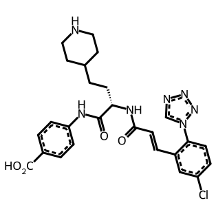 O=C(/C=C/c1cc(Cl)ccc1-n1cnnn1)N[C@@H](CCC1CCNCC1)C(=O)Nc1ccc(C(=O)O)cc1